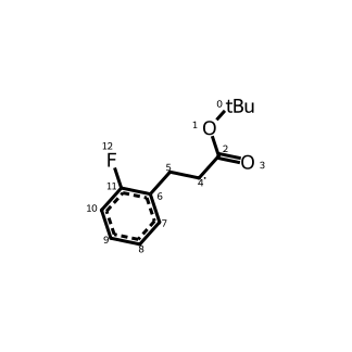 CC(C)(C)OC(=O)[CH]Cc1ccccc1F